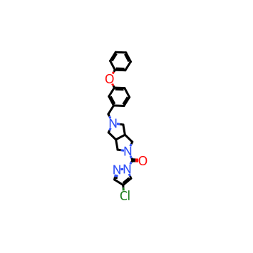 O=C(N1CC2CN(Cc3cccc(Oc4ccccc4)c3)CC2C1)n1cc(Cl)cn1